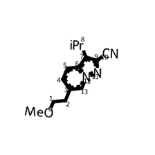 COCCc1ccc2c(C(C)C)c(C#N)nn2c1